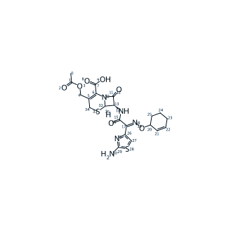 CC(=O)OCC1=C(C(=O)O)N2C(=O)[C@@H](NC(=O)C(=NOC3C=CCCC3)c3csc(N)n3)[C@H]2SC1